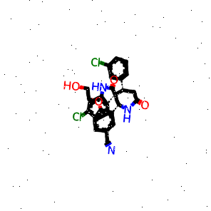 N#Cc1ccc(OCCO)c([C@H]2NC(=O)C[C@@H](c3cccc(Cl)c3)[C@]23C(=O)Nc2cc(Cl)ccc23)c1